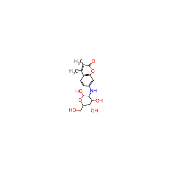 Cc1c(C)c2ccc(N[C@@H]3C(O)OC(CO)[C@@H](O)C3O)cc2oc1=O